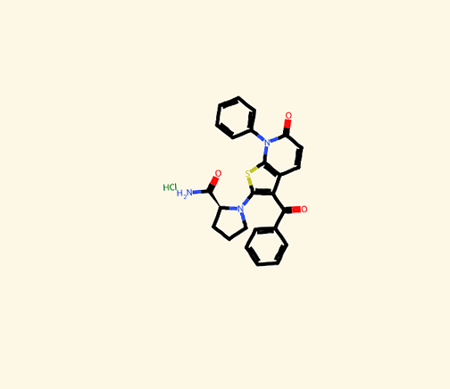 Cl.NC(=O)[C@@H]1CCCN1c1sc2c(ccc(=O)n2-c2ccccc2)c1C(=O)c1ccccc1